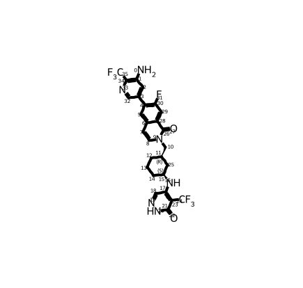 Nc1cc(-c2cc3ccn(C[C@@H]4CCC[C@H](Nc5cn[nH]c(=O)c5C(F)(F)F)C4)c(=O)c3cc2F)cnc1C(F)(F)F